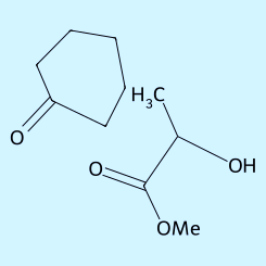 COC(=O)C(C)O.O=C1CCCCC1